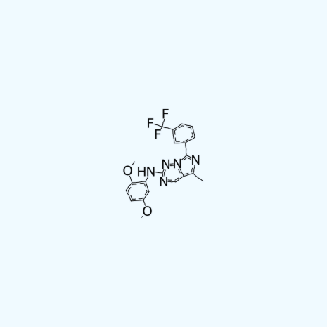 COc1ccc(OC)c(Nc2ncc3c(C)nc(-c4cccc(C(F)(F)F)c4)n3n2)c1